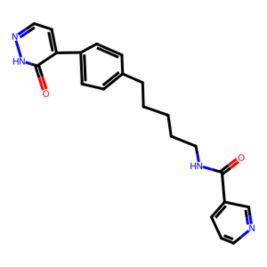 O=C(NCCCCCc1ccc(-c2ccn[nH]c2=O)cc1)c1cccnc1